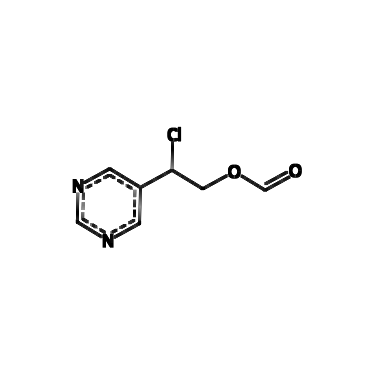 O=COCC(Cl)c1cncnc1